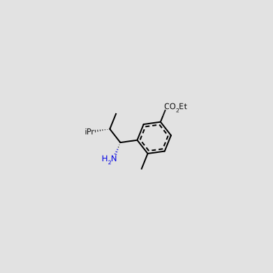 CCOC(=O)c1ccc(C)c([C@H](N)[C@@H](C)C(C)C)c1